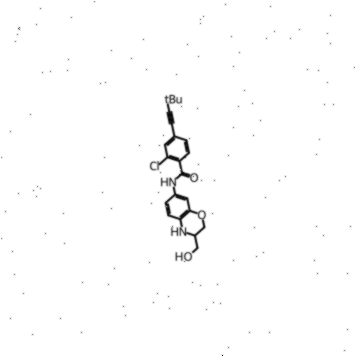 CC(C)(C)C#Cc1ccc(C(=O)Nc2ccc3c(c2)OCC(CO)N3)c(Cl)c1